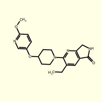 CCc1cc2c(nc1N1CCC(Oc3ccc(OC)nc3)CC1)CNC2=O